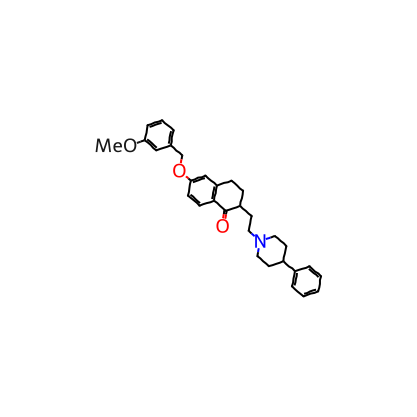 COc1cccc(COc2ccc3c(c2)CCC(CCN2CCC(c4ccccc4)CC2)C3=O)c1